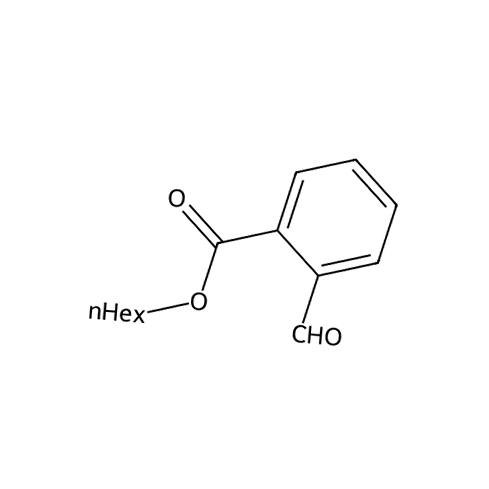 CCCCCCOC(=O)c1ccccc1C=O